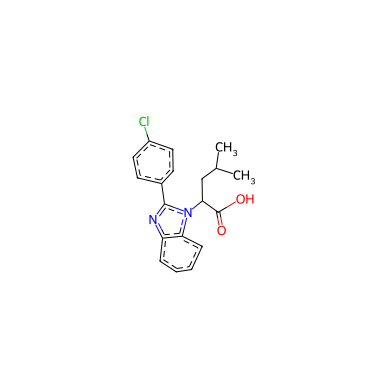 CC(C)CC(C(=O)O)n1c(-c2ccc(Cl)cc2)nc2ccccc21